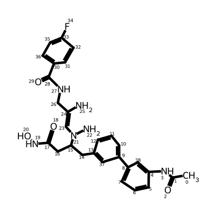 CC(=O)Nc1cccc(-c2cccc(CC(CC(=O)NO)N(N)/C=C(\N)CNC(=O)c3ccc(F)cc3)c2)c1